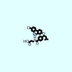 CC(C)CC(Oc1ccc(-c2ccc(Cl)cc2Cl)c(Cl)c1)c1ccc(C(=O)NCCC(=O)O)cc1